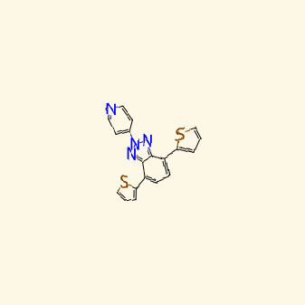 c1csc(-c2ccc(-c3cccs3)c3nn(-c4ccncc4)nc23)c1